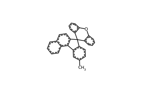 Cc1ccc2c(c1)-c1c(ccc3ccccc13)C21c2ccccc2Oc2ccccc21